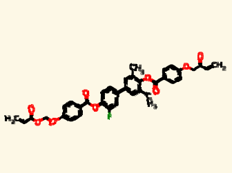 C=CC(=O)COc1ccc(C(=O)Oc2c(C)cc(-c3ccc(OC(=O)c4ccc(OCOC(=O)C=C)cc4)c(F)c3)cc2C)cc1